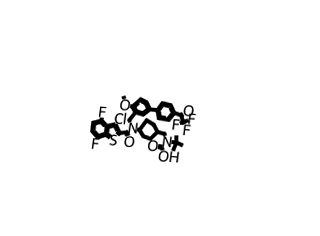 COc1ccc(-c2ccc(C(=O)C(F)(F)F)cc2)cc1CN(C(=O)c1sc2c(F)ccc(F)c2c1Cl)C1CCC(CN(C(=O)O)C(C)(C)C)CC1